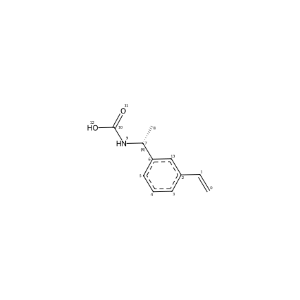 C=Cc1cccc([C@@H](C)NC(=O)O)c1